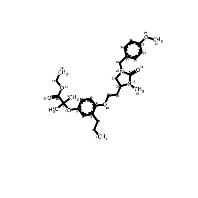 CCCc1cc(OC(C)(C)C(=O)OCC)ccc1OCCC1CN(Cc2ccc(OC)cc2)C(=O)N1C